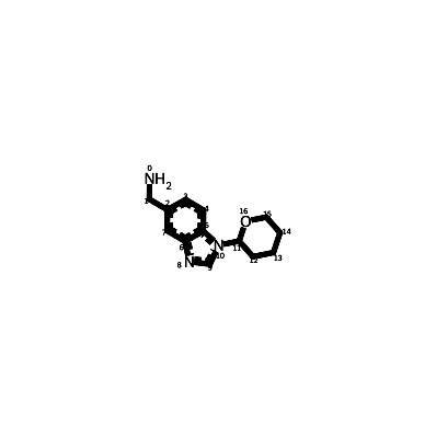 NCc1ccc2c(c1)ncn2C1CCCCO1